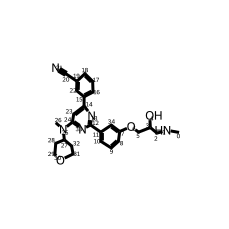 CNCC(O)COc1cccc(-c2nc(-c3cccc(C#N)c3)cc(N(C)C3CCOCC3)n2)c1